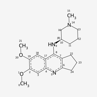 COc1cc2nc3c(c(N[C@@H]4CCCN(C)C4)c2cc1OC)CCC3